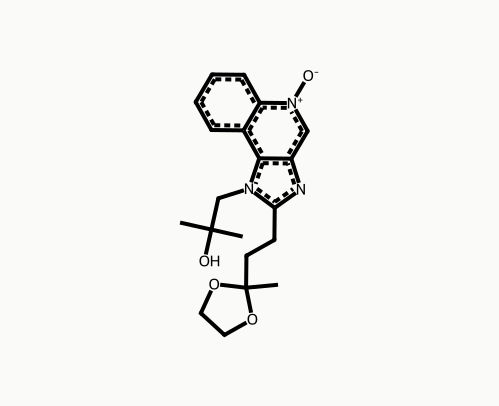 CC(C)(O)Cn1c(CCC2(C)OCCO2)nc2c[n+]([O-])c3ccccc3c21